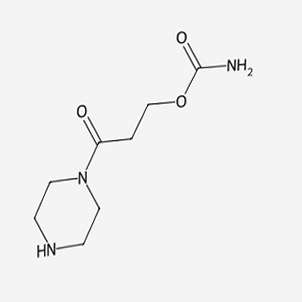 NC(=O)OCCC(=O)N1CCNCC1